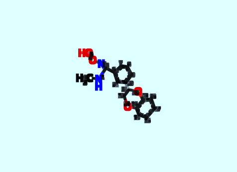 CN/C(=N\OO)c1cccc([C@H]2COc3ccccc3O2)c1